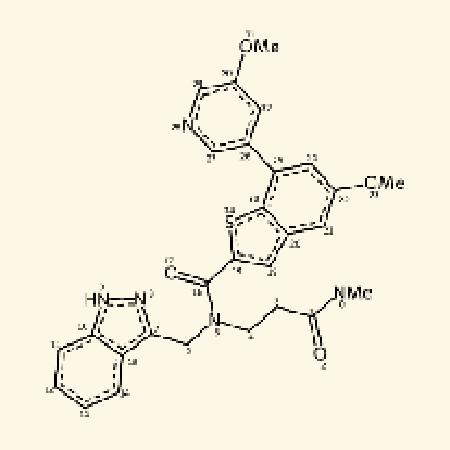 CNC(=O)CCN(Cc1n[nH]c2ccccc12)C(=O)c1cc2cc(OC)cc(-c3cncc(OC)c3)c2s1